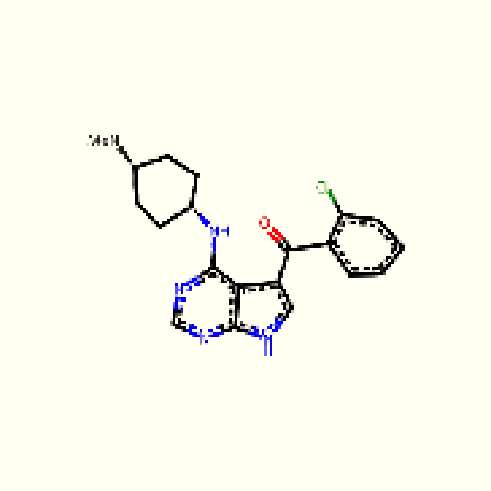 CN[C@H]1CC[C@@H](Nc2ncnc3[nH]cc(C(=O)c4ccccc4Cl)c23)CC1